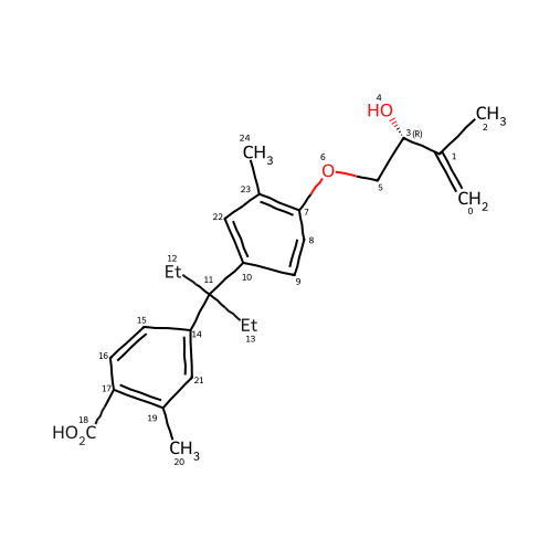 C=C(C)[C@@H](O)COc1ccc(C(CC)(CC)c2ccc(C(=O)O)c(C)c2)cc1C